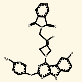 CCC(CN1C(=O)c2ccccc2C1=O)=C1CN(c2nc(Sc3cnc(C)nc3)nc3[nH]c4[c]cc(F)cc4c23)C1